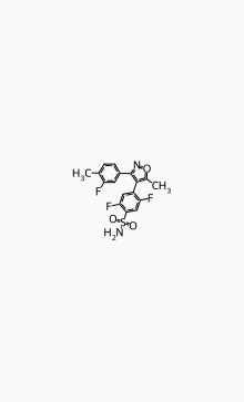 Cc1ccc(-c2noc(C)c2-c2cc(F)c(S(N)(=O)=O)cc2F)cc1F